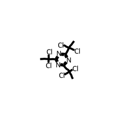 CC(Cl)(Cl)c1nc(C(C)(Cl)Cl)nc(C(C)(Cl)Cl)n1